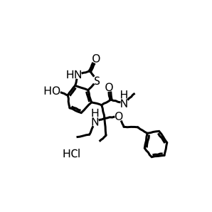 CCNC(CC)(OCCc1ccccc1)C(C(=O)NC)c1ccc(O)c2[nH]c(=O)sc12.Cl